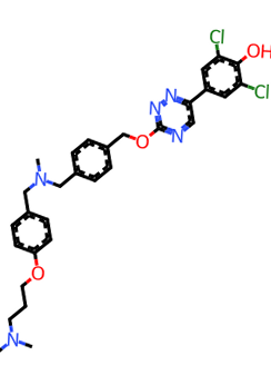 CN(C)CCCOc1ccc(CN(C)Cc2ccc(COc3ncc(-c4cc(Cl)c(O)c(Cl)c4)nn3)cc2)cc1